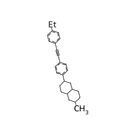 CCc1ccc(C#Cc2ccc(C3CCC4CC(C)CCC4C3)cc2)cc1